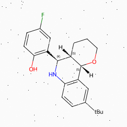 CC(C)(C)c1ccc2c(c1)[C@H]1OCCC[C@H]1[C@H](c1cc(F)ccc1O)N2